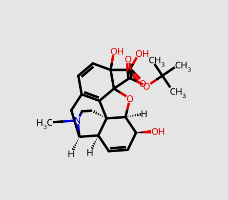 CN1CC[C@]23C4=C5C=CC(O)(C(=O)O)C4(C(=O)OC(C)(C)C)O[C@H]2[C@@H](O)C=C[C@H]3[C@H]1C5